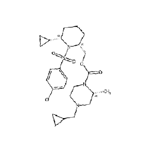 C[C@@H]1CN(CC2CC2)CCN1C(=O)OC[C@H]1CCC[C@@H](C2CC2)N1S(=O)(=O)c1ccc(Cl)cc1